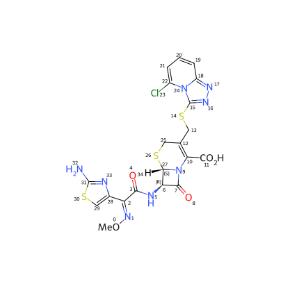 CON=C(C(=O)N[C@@H]1C(=O)N2C(C(=O)O)=C(CSc3nnc4cccc(Cl)n34)CS[C@@H]12)c1csc(N)n1